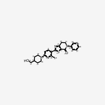 O=C1c2sc(-c3ccc(N4CCC(CO)CC4)nc3I)nc2CCN1c1cccnc1